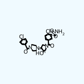 NS(=O)(=O)c1cc(C(=O)N2C[C@@H](O)[C@H](N3CCN(C(=O)c4ccc(Cl)cc4)CC3)C2)ccc1Cl